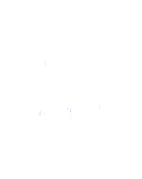 C=C(NCC(C)C)C(C=CCCCC)CC